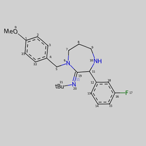 COc1ccc(CN2CCCNC(c3cccc(F)c3)/C2=N/C(C)(C)C)cc1